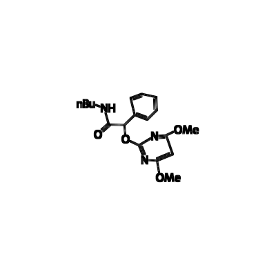 CCCCNC(=O)C(Oc1nc(OC)cc(OC)n1)c1ccccc1